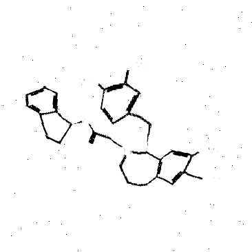 COc1ccc(C[C@H]2c3cc(OC)c(OC)cc3CCCN2CC(=O)N[C@H]2CCc3ccccc32)cc1OC